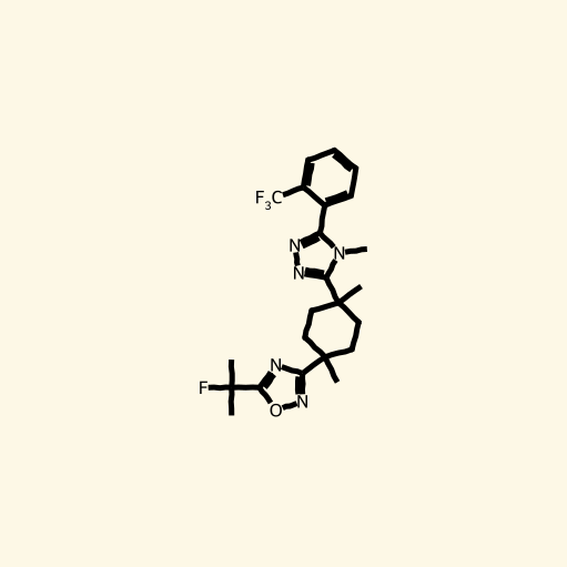 Cn1c(-c2ccccc2C(F)(F)F)nnc1C1(C)CCC(C)(c2noc(C(C)(C)F)n2)CC1